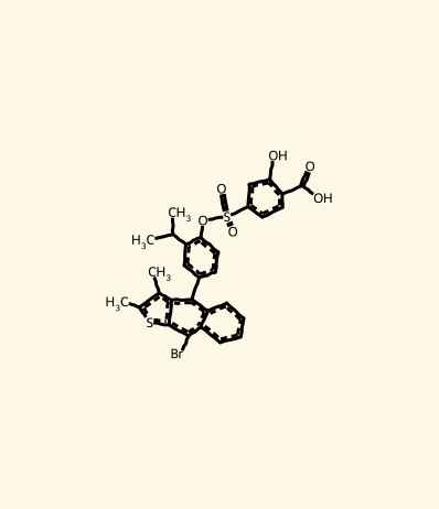 Cc1sc2c(Br)c3ccccc3c(-c3ccc(OS(=O)(=O)c4ccc(C(=O)O)c(O)c4)c(C(C)C)c3)c2c1C